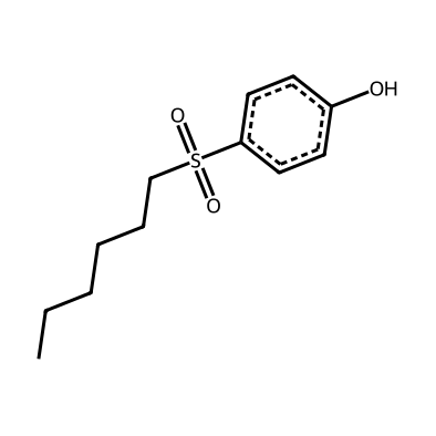 CCCCCCS(=O)(=O)c1ccc(O)cc1